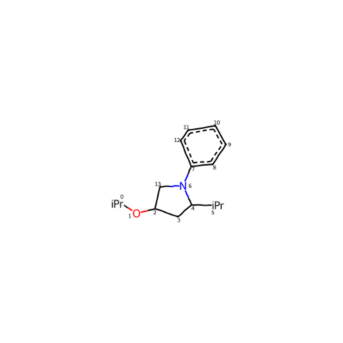 CC(C)OC1CC(C(C)C)N(c2ccccc2)C1